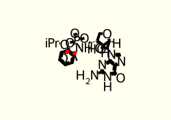 CC(C)OC(=O)[C@H](C)N[P@@](=O)(OC[C@@]12CO[C@@H](C(n3cnc4c(=O)[nH]c(N)nc43)O1)[C@@H]2O)Oc1ccccc1